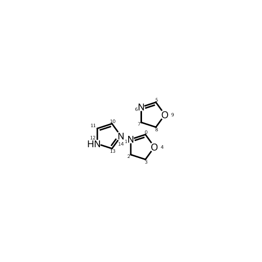 C1=NCCO1.C1=NCCO1.c1c[nH]cn1